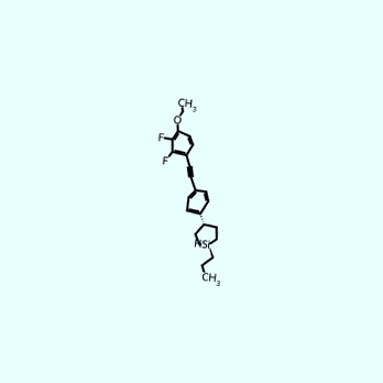 CCC[Si@H]1CC[C@H](c2ccc(C#Cc3ccc(OCC)c(F)c3F)cc2)CC1